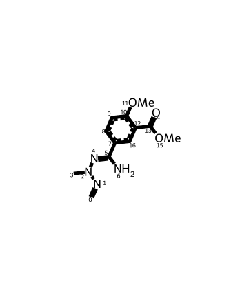 C=NN(C)/N=C(\N)c1ccc(OC)c(C(=O)OC)c1